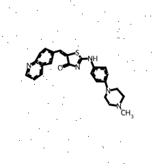 CN1CCN(c2ccc(NC3=NC(=O)C(=Cc4ccc5ncccc5c4)S3)cc2)CC1